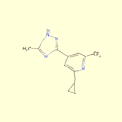 Cc1nc(-c2cc(C3CC3)nc(C(F)(F)F)c2)n[nH]1